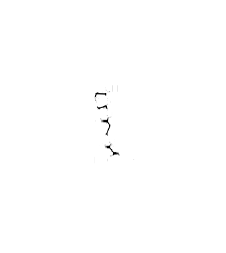 C=C(C)C(=O)OCCC(=O)OC1COCC(C)S1